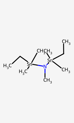 C[CH2][Sn]([CH3])([CH3])[N](C)[Sn]([CH3])([CH3])[CH2]C